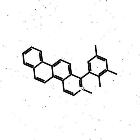 Cc1cc(C)c(C)c(-c2c3ccc4c5ccccc5ccc4c3cc[n+]2C)c1